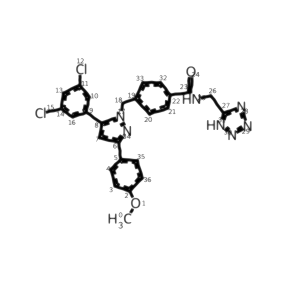 COc1ccc(-c2cc(-c3cc(Cl)cc(Cl)c3)n(Cc3ccc(C(=O)NCc4nnn[nH]4)cc3)n2)cc1